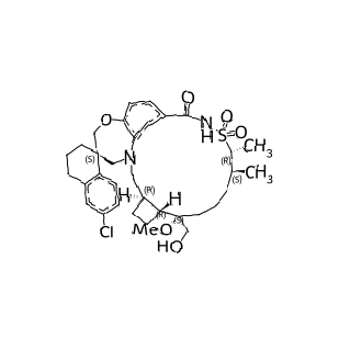 CO[C@@]1(CO)CCC[C@H](C)[C@@H](C)S(=O)(=O)NC(=O)c2ccc3c(c2)N(C[C@@H]2CC[C@H]21)C[C@@]1(CCCc2cc(Cl)ccc21)CO3